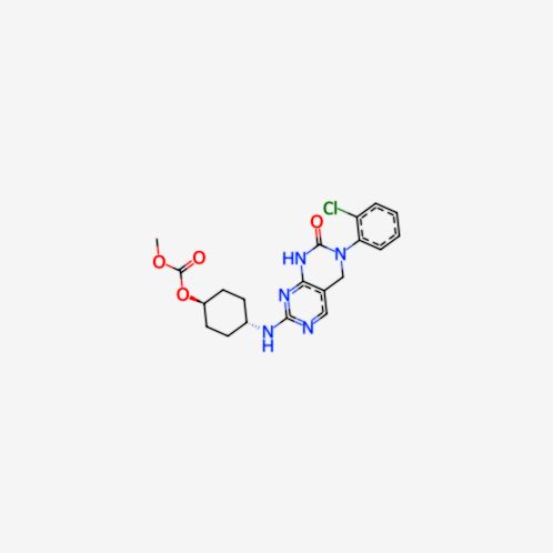 COC(=O)O[C@H]1CC[C@H](Nc2ncc3c(n2)NC(=O)N(c2ccccc2Cl)C3)CC1